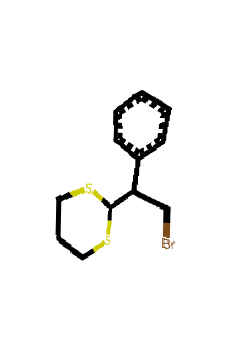 BrCC(c1ccccc1)C1SCCCS1